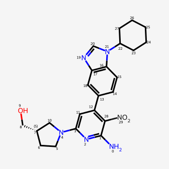 Nc1nc(N2CC[C@H](CO)C2)cc(-c2ccc3c(c2)ncn3C2CCCCC2)c1[N+](=O)[O-]